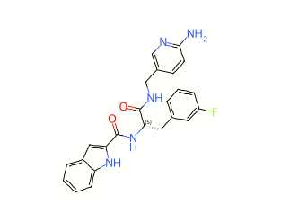 Nc1ccc(CNC(=O)[C@H](Cc2cccc(F)c2)NC(=O)c2cc3ccccc3[nH]2)cn1